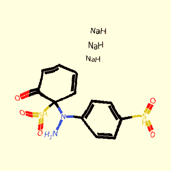 NN(c1ccc([SH](=O)=O)cc1)C1([SH](=O)=O)C=CC=CC1=O.[NaH].[NaH].[NaH]